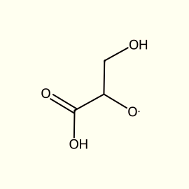 [O]C(CO)C(=O)O